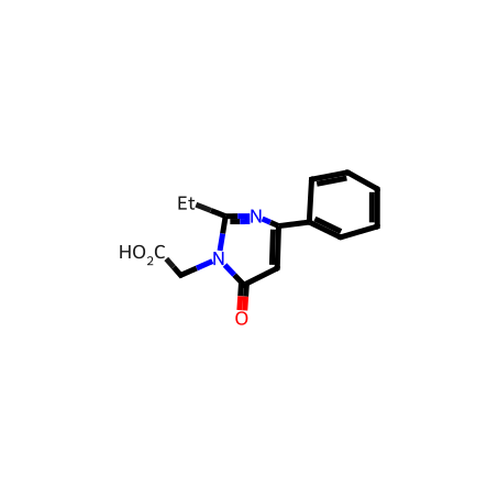 CCc1nc(-c2ccccc2)cc(=O)n1CC(=O)O